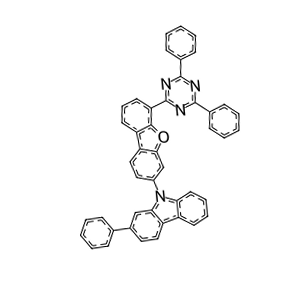 c1ccc(-c2ccc3c4ccccc4n(-c4ccc5c(c4)oc4c(-c6nc(-c7ccccc7)nc(-c7ccccc7)n6)cccc45)c3c2)cc1